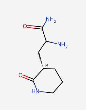 NC(=O)C(N)C[C@@H]1CCCNC1=O